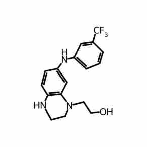 OCCN1CCNc2ccc(Nc3cccc(C(F)(F)F)c3)cc21